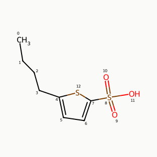 CCCCc1ccc(S(=O)(=O)O)s1